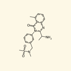 Cc1cccc2nc(C(C)N)n(-c3cccc(CN(C)S(C)(=O)=O)c3)c(=O)c12